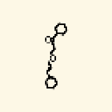 C(=CC1CCCCC1)COCCC1OC1C1CCCCC1